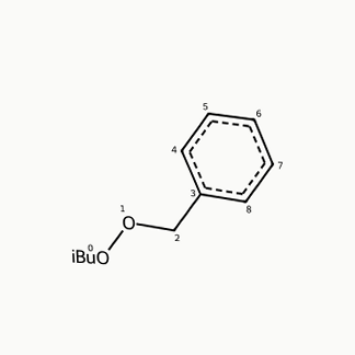 CC(C)COOCc1ccccc1